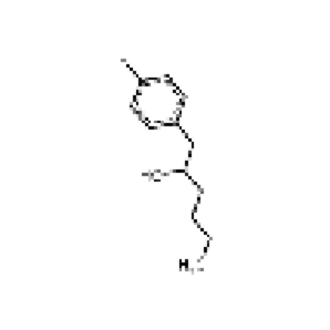 CCCCC(O)Cc1ccc(F)cc1